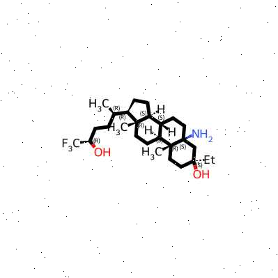 CC[C@]1(O)CC[C@]2(C)[C@H]3CC[C@]4(C)[C@@H]([C@H](C)CC[C@@H](O)C(F)(F)F)CC[C@H]4[C@@H]3CC[C@]2(N)C1